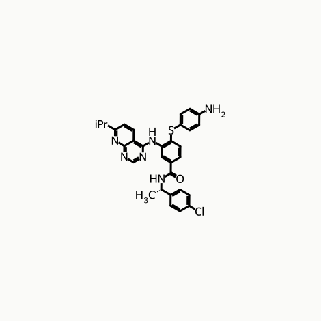 CC(C)c1ccc2c(Nc3cc(C(=O)N[C@@H](C)c4ccc(Cl)cc4)ccc3Sc3ccc(N)cc3)ncnc2n1